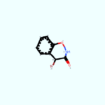 O=C1NOc2ccccc2C1Br